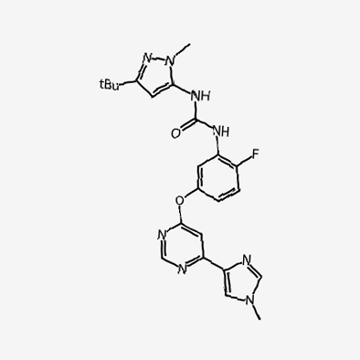 Cn1cnc(-c2cc(Oc3ccc(F)c(NC(=O)Nc4cc(C(C)(C)C)nn4C)c3)ncn2)c1